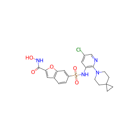 O=C(NO)c1cc2ccc(S(=O)(=O)Nc3cc(Cl)cnc3N3CCC4(CC3)CC4)cc2o1